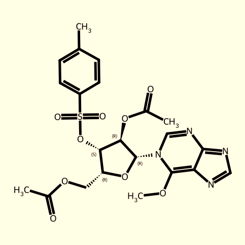 COc1c2ncnc-2ncn1[C@@H]1O[C@H](COC(C)=O)[C@H](OS(=O)(=O)c2ccc(C)cc2)[C@H]1OC(C)=O